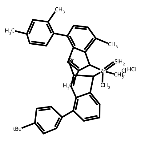 CC1=Cc2c(-c3ccc(C)cc3C)ccc(C)c2[CH]1[Zr]([CH3])([CH3])(=[SiH2])[CH]1C(C(C)C)=Cc2c(-c3ccc(C(C)(C)C)cc3)cccc21.Cl.Cl